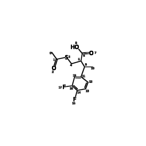 CC(=O)SCC(C(=O)O)C(C)c1ccc(F)c(F)c1